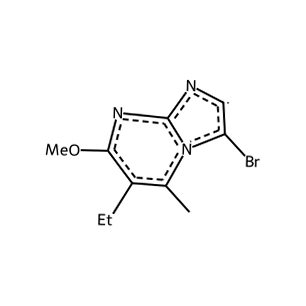 CCc1c(OC)nc2n[c]c(Br)n2c1C